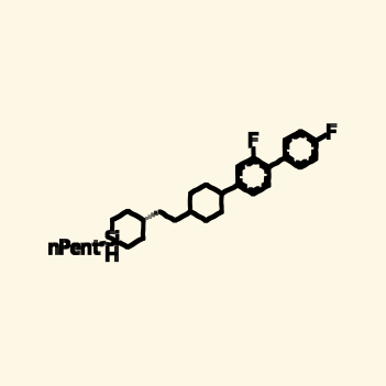 CCCCC[Si@H]1CC[C@H](CCC2CCC(c3ccc(-c4ccc(F)cc4)c(F)c3)CC2)CC1